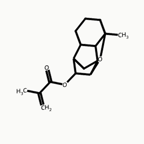 C=C(C)C(=O)OC1C2CC3C1OC1(C)CCCC2C31